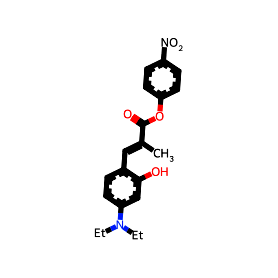 CCN(CC)c1ccc(/C=C(\C)C(=O)Oc2ccc([N+](=O)[O-])cc2)c(O)c1